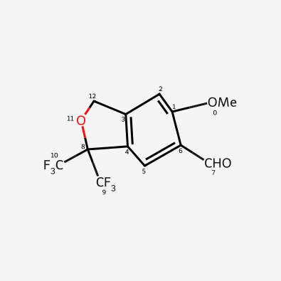 COc1cc2c(cc1C=O)C(C(F)(F)F)(C(F)(F)F)OC2